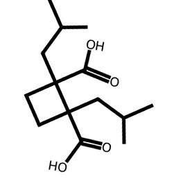 CC(C)CC1(C(=O)O)CCC1(CC(C)C)C(=O)O